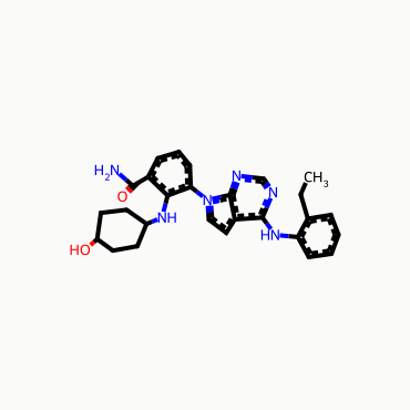 CCc1ccccc1Nc1ncnc2c1ccn2-c1cccc(C(N)=O)c1NC1CCC(O)CC1